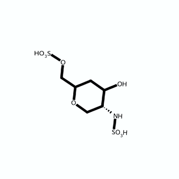 O=S(=O)(O)N[C@@H]1COC(COS(=O)(=O)O)CC1O